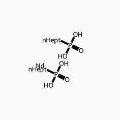 CCCCCCCP(=O)(O)O.CCCCCCCP(=O)(O)O.[Nd]